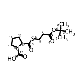 CC(C)(C)OC(=O)CCSC(=O)[C@@H]1CCCN1C(=O)O